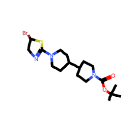 CC(C)(C)OC(=O)N1CCC(C2CCN(C3=NCC(Br)S3)CC2)CC1